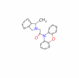 CC1c2ccccc2CN1CC(=O)N1c2ccccc2Oc2ccccc21